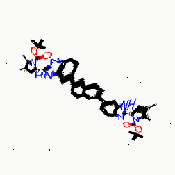 C[C@@H]1C[C@@H](c2nc3ccc(-c4ccc5cc(-c6ccc7nc([C@@H]8C[C@@H](C)[C@@H](C)N8C(=O)OC(C)(C)C)[nH]c7c6)ccc5c4)cc3[nH]2)N(C(=O)OC(C)(C)C)[C@@H]1C